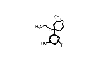 CCO[C@]1(c2cc(O)cc(F)c2)CCO[C@H](C)C1